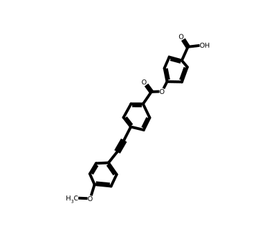 COc1ccc(C#Cc2ccc(C(=O)Oc3ccc(C(=O)O)cc3)cc2)cc1